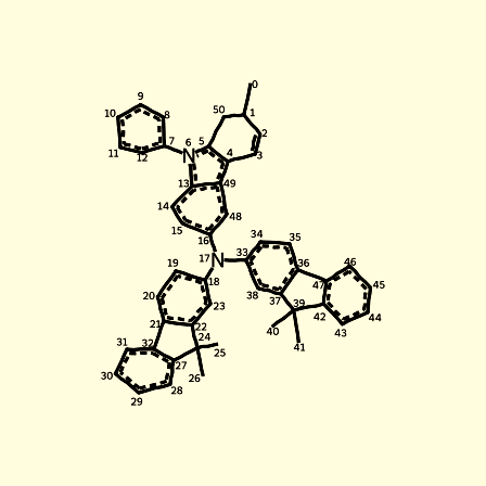 CC1C=Cc2c(n(-c3ccccc3)c3ccc(N(c4ccc5c(c4)C(C)(C)c4ccccc4-5)c4ccc5c(c4)C(C)(C)c4ccccc4-5)cc23)C1